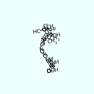 C#Cc1ccc([C@@H](C)NC(=O)[C@@H]2C[C@@H](O)CN2C(=O)C(c2cc(N3CCC(CN4CCC(N5CCC(N6CCN7c8cc(-c9ccccc9O)nnc8NC[C@H]7C6)CC5)CC4)CC3)no2)C(C)C)c(Cl)c1